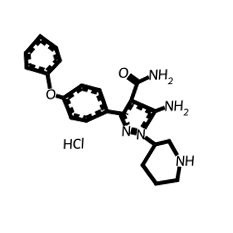 Cl.NC(=O)c1c(-c2ccc(Oc3ccccc3)cc2)nn(C2CCCNC2)c1N